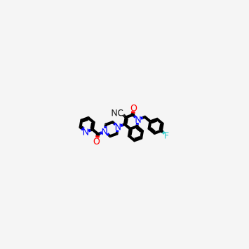 N#Cc1c(N2CCN(C(=O)c3ccccn3)CC2)c2ccccc2n(Cc2ccc(F)cc2)c1=O